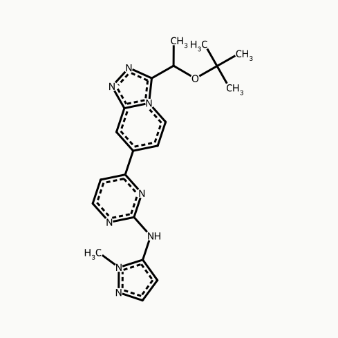 CC(OC(C)(C)C)c1nnc2cc(-c3ccnc(Nc4ccnn4C)n3)ccn12